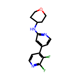 Fc1nccc(-c2ccnc(NC3CCOCC3)c2)c1F